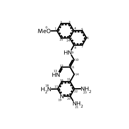 COc1ccc2cccc(N/C=C(\C=N)Cc3cc(N)nc(N)c3N)c2c1